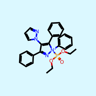 CCOP(=O)(OCC)[N+]1(c2ccccc2)N=C(c2ccccc2)C(n2cccn2)=C1c1ccccc1